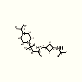 CC(C)NC1CC(NC(C)CC(C)(C)N2CCN(C(C)C)CC2)C1